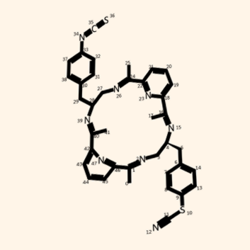 C/C1=N\C[C@H](Cc2ccc(SC#N)cc2)/N=C(\C)c2cccc(n2)/C(C)=N/CC(Cc2ccc(N=C=S)cc2)/N=C(\C)c2cccc1n2